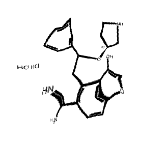 Cl.Cl.N=C(N)c1ccc2occ(O)c2c1CC(O[C@H]1CCNC1)c1ccccc1